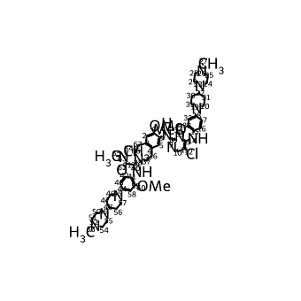 COc1cc2c(cc1Nc1ncc(Cl)c(Nc3ccc(N4CCC(N5CCN(C)CC5)CC4)cc3OC)n1)CCN(C(Nc1ccc(N3CCC(N4CCN(C)CC4)CC3)cc1OC)C(=O)N(C)C)CC2